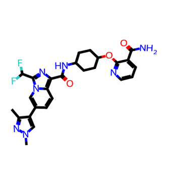 Cc1nn(C)cc1-c1ccc2c(C(=O)NC3CCC(Oc4ncccc4C(N)=O)CC3)nc(C(F)F)n2c1